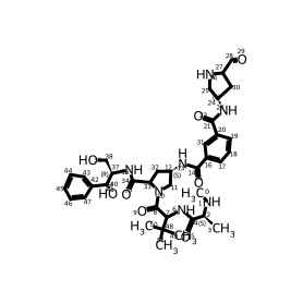 CN[C@@H](C)C(=O)NC(C(=O)N1C[C@@H](NC(=O)c2cccc(C(=O)N[C@@H]3CNC(C=O)C3)c2)CC1C(=O)N[C@H](CO)[C@@H](O)c1ccccc1)C(C)(C)C